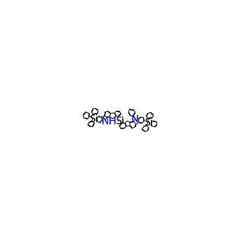 C[Si](C)(c1cccc2c1Cc1c-2ccc2c1[nH]c1ccc([Si](c3ccccc3)(c3ccccc3)c3ccccc3)cc12)c1cccc2c1Cc1c-2ccc2c3cc([Si](c4ccccc4)(c4ccccc4)c4ccccc4)ccc3n(-c3ccccc3)c12